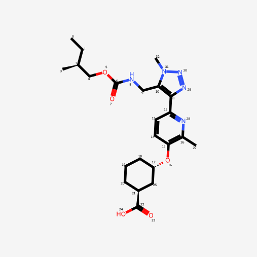 CC[C@H](C)COC(=O)NCc1c(-c2ccc(O[C@H]3CCC[C@H](C(=O)O)C3)c(C)n2)nnn1C